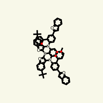 CC(C)c1cc2c3c(c1)N(c1ccc(-c4cc5ccccc5o4)cc1-c1ccccc1)c1c(oc4ccc(C(C)(C)C)cc14)B3c1oc3ccc(C(C)(C)C)cc3c1N2c1ccc(-c2cc3ccccc3o2)cc1-c1ccccc1